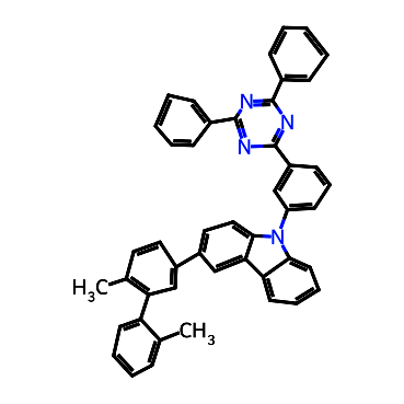 Cc1ccccc1-c1cc(-c2ccc3c(c2)c2ccccc2n3-c2cccc(-c3nc(-c4ccccc4)nc(-c4ccccc4)n3)c2)ccc1C